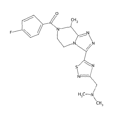 CC1c2nnc(-c3nc(CN(C)C)ns3)n2CCN1C(=O)c1ccc(F)cc1